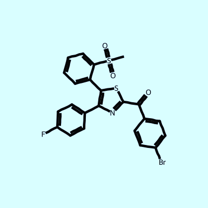 CS(=O)(=O)c1ccccc1-c1sc(C(=O)c2ccc(Br)cc2)nc1-c1ccc(F)cc1